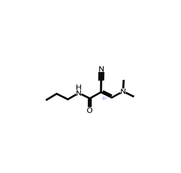 CCCNC(=O)/C(C#N)=C/N(C)C